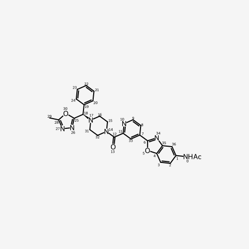 CC(=O)Nc1ccc2oc(-c3ccnc(C(=O)N4CCN([C@H](c5ccccc5)c5nnc(C)o5)CC4)c3)nc2c1